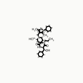 CCCN1C(=O)[C@@H]([C@H](O)C2CCCCC2)NC(=O)C12CCN(Cc1c(C)nn(C3CCCCC3)c1C)CC2.Cl